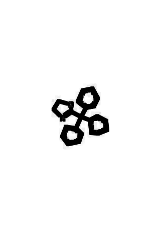 c1ccc(C(C2=NCCO2)(c2ccccc2)c2ccccc2)cc1